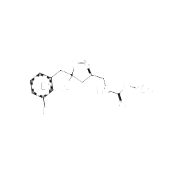 CCOC(=O)C1(Cc2cccc(F)c2)CC(CNC(=O)OC(C)(C)C)=NO1